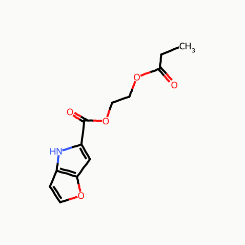 CCC(=O)OCCOC(=O)c1cc2occc2[nH]1